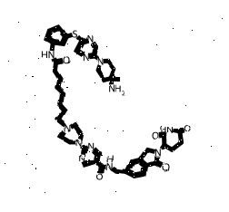 CC1(N)CCN(c2cnc(Sc3cccc(NC(=O)CCCCCCCN4CCN(c5ncc(C(=O)NCc6ccc7c(c6)CN(C6CCC(=O)NC6=O)C7=O)cn5)CC4)c3)cn2)CC1